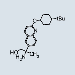 CC(C)(C)C1CCC(Oc2ccc3cc([C@](C)(N)CO)ccc3n2)CC1